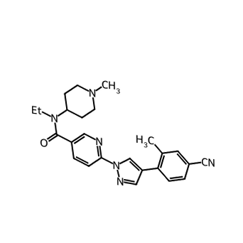 CCN(C(=O)c1ccc(-n2cc(-c3ccc(C#N)cc3C)cn2)nc1)C1CCN(C)CC1